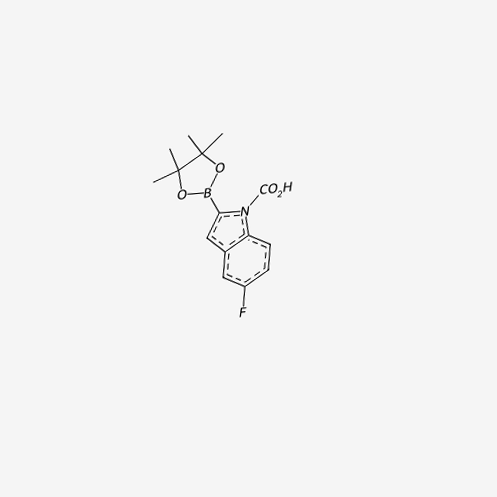 CC1(C)OB(c2cc3cc(F)ccc3n2C(=O)O)OC1(C)C